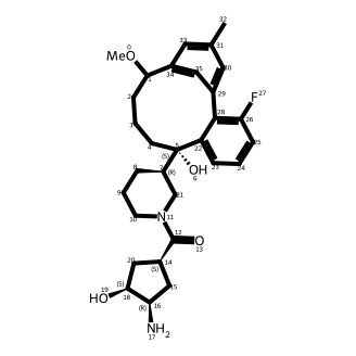 COC1CCC[C@](O)([C@@H]2CCCN(C(=O)[C@H]3C[C@@H](N)[C@@H](O)C3)C2)c2cccc(F)c2-c2cc(C)cc1c2